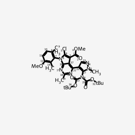 COC(=O)c1c(Cl)n(-c2c(C)ccc(OC)c2C)c2nc(C)nc(-c3cnn(C)c3N(C(=O)OC(C)(C)C)C(=O)OC(C)(C)C)c12